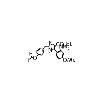 CCOC(=O)c1nc(Cc2ccc(OC(F)F)cc2)n(C)c1-c1ccc(OC)cc1N